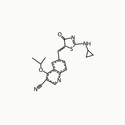 CC(C)Oc1c(C#N)cnc2ccc(/C=C3\SC(NC4CC4)=NC3=O)cc12